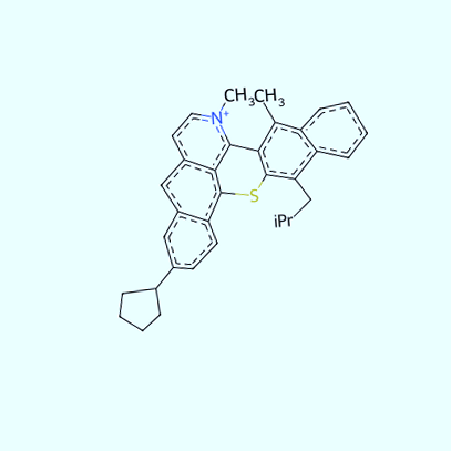 Cc1c2c(c(CC(C)C)c3ccccc13)Sc1c3ccc(C4CCCC4)cc3cc3cc[n+](C)c-2c13